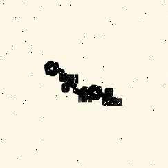 CCCC(CCC(=O)NOCc1ccccc1)Cc1ccc(C(=O)OCC(C)C)cc1